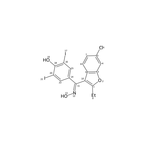 CCc1oc2cc(Cl)ccc2c1C(=NO)c1cc(I)c(O)c(I)c1